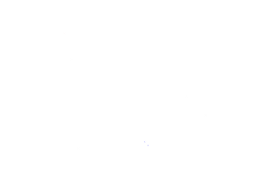 N#Cc1c(-c2ccccc2)cc(-c2ccc3oc4ccccc4c3c2)cc1-c1ccc2c(c1)sc1ccccc12